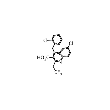 O=C(O)c1c(CC(F)(F)F)nc2ccc(Cl)cc2c1Cc1ccccc1Cl